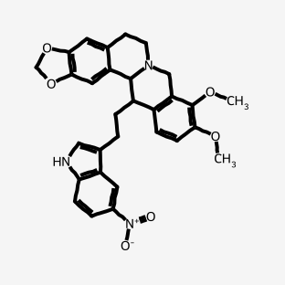 COc1ccc2c(c1OC)CN1CCc3cc4c(cc3C1C2CCc1c[nH]c2ccc([N+](=O)[O-])cc12)OCO4